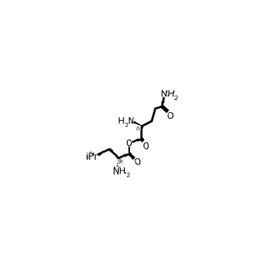 CC(C)C[C@@H](N)C(=O)OC(=O)[C@@H](N)CCC(N)=O